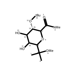 CNC(=O)C1OC(C(C)(C)OC)C(O)C(O)[C@@H]1OC(C)(C)C